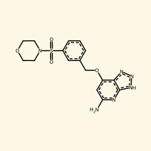 Nc1cc(OCc2cccc(S(=O)(=O)N3CCOCC3)c2)c2nn[nH]c2n1